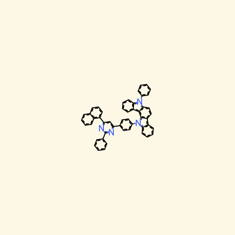 c1ccc(-c2nc(-c3ccc(-n4c5ccccc5c5ccc6c(c7ccccc7n6-c6ccccc6)c54)cc3)cc(-c3cccc4ccccc34)n2)cc1